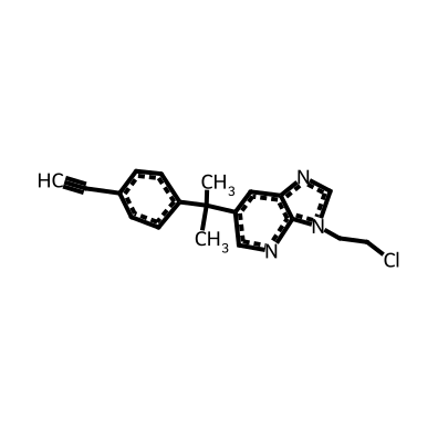 C#Cc1ccc(C(C)(C)c2cnc3c(c2)ncn3CCCl)cc1